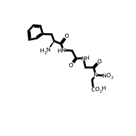 N[C@@H](Cc1ccccc1)C(=O)NCC(=O)NCC(=O)N(CC(=O)O)[N+](=O)[O-]